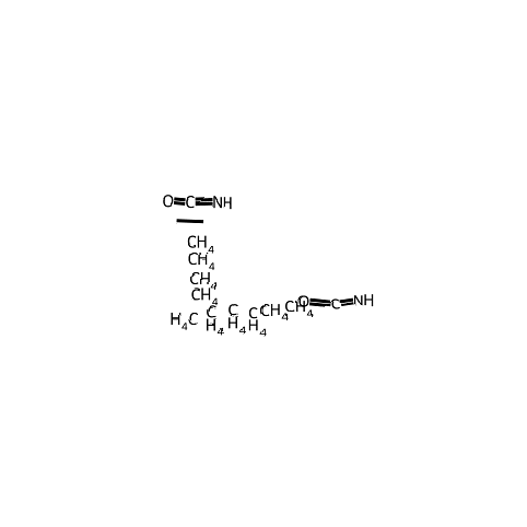 C.C.C.C.C.C.C.C.C.C.CC.N=C=O.N=C=O